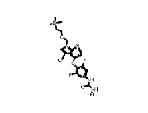 CCNC(=O)Nc1cc(F)c(Oc2ccnc3c2c(Cl)cn3COCC[Si](C)(C)C)c(F)c1